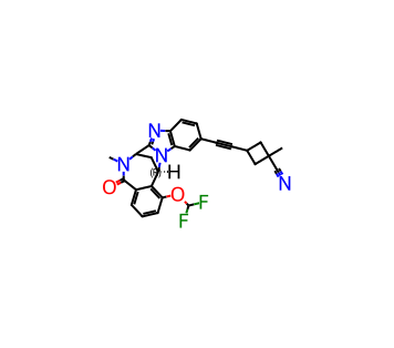 CN1C(=O)c2cccc(OC(F)F)c2[C@H]2CC1c1nc3ccc(C#CC4CC(C)(C#N)C4)cc3n12